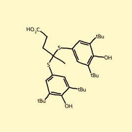 CC(CCC(=O)O)(Sc1cc(C(C)(C)C)c(O)c(C(C)(C)C)c1)Sc1cc(C(C)(C)C)c(O)c(C(C)(C)C)c1